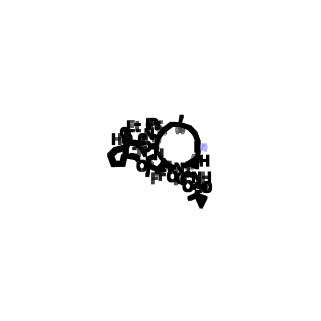 CCOc1cnc(O[C@]2(C)CN3C(=O)[C@@H](N(C(=O)O)C(C)C)[C@H](CC)C[C@@H](C)CC/C=C\[C@@H]4C[C@@]4(C(=O)NS(=O)(=O)C4(C)CC4)NC(=O)[C@H]3C2(F)F)c2ccccc12